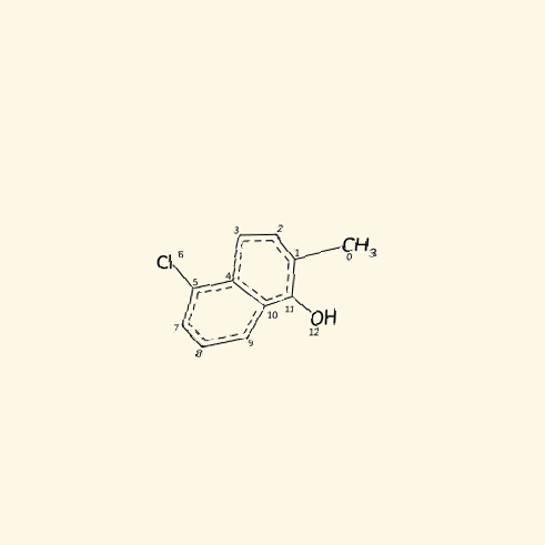 Cc1ccc2c(Cl)cccc2c1O